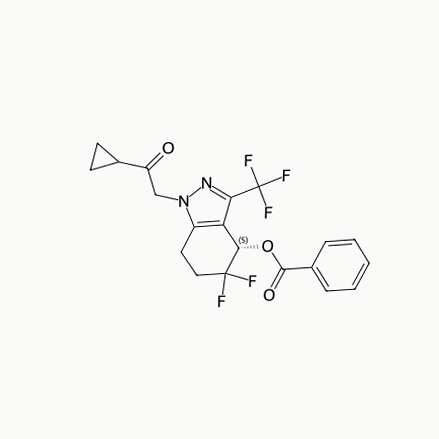 O=C(O[C@H]1c2c(C(F)(F)F)nn(CC(=O)C3CC3)c2CCC1(F)F)c1ccccc1